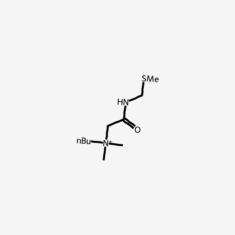 CCCC[N+](C)(C)CC(=O)NCSC